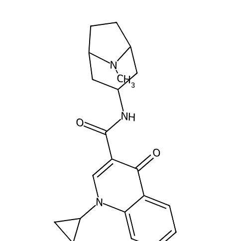 CN1C2CCC1CC(NC(=O)c1cn(C3CC3)c3ccccc3c1=O)C2